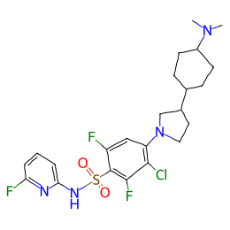 CN(C)C1CCC(C2CCN(c3cc(F)c(S(=O)(=O)Nc4cccc(F)n4)c(F)c3Cl)C2)CC1